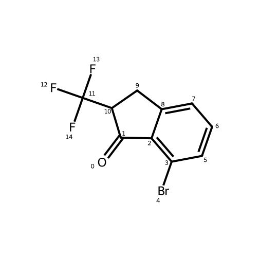 O=C1c2c(Br)cccc2CC1C(F)(F)F